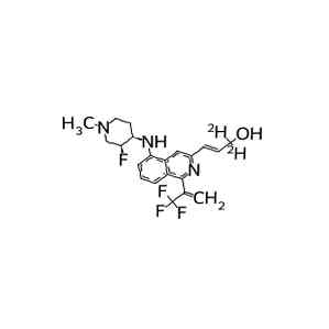 [2H]C([2H])(O)/C=C/c1cc2c(N[C@@H]3CCN(C)C[C@@H]3F)cccc2c(C(=C)C(F)(F)F)n1